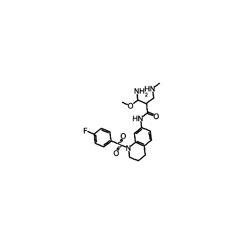 CNCC(C(=O)Nc1ccc2c(c1)N(S(=O)(=O)c1ccc(F)cc1)CCC2)C(N)OC